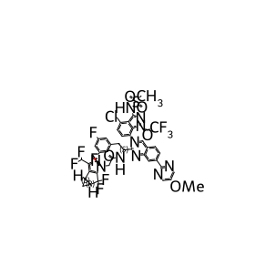 COc1cnc(-c2ccc3c(=O)n(-c4ccc(Cl)c5c(NS(C)(=O)=O)nn(CC(F)(F)F)c45)c([C@H](Cc4cc(F)cc(F)c4)NC(=O)Cn4nc(C(F)F)c5c4C(F)(F)[C@@H]4C[C@H]54)nc3c2)nc1